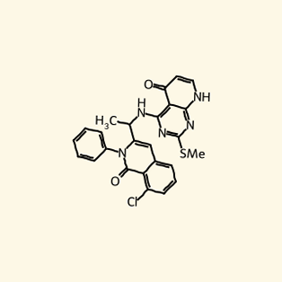 CSc1nc(NC(C)c2cc3cccc(Cl)c3c(=O)n2-c2ccccc2)c2c(=O)cc[nH]c2n1